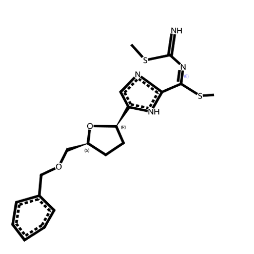 CSC(=N)/N=C(/SC)c1ncc([C@H]2CC[C@@H](COCc3ccccc3)O2)[nH]1